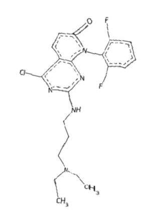 CCN(CC)CCCNc1nc(Cl)c2ccc(=O)n(-c3c(F)cccc3F)c2n1